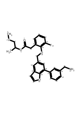 COCC(C)OC(=O)Cc1cccc(F)c1OCc1cc(-c2cccc(CN)c2)c2occc2c1